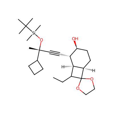 CCC1[C@H]2[C@H](C#C[C@@](C)(O[Si](C)(C)C(C)(C)C)C3CCC3)[C@@H](O)CC[C@H]2C12OCCO2